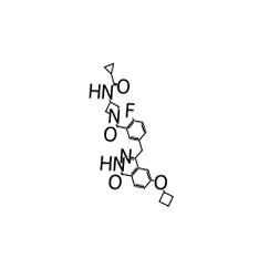 O=C(NC1CN(C(=O)c2cc(Cc3n[nH]c(=O)c4ccc(OC5CCC5)cc34)ccc2F)C1)C1CC1